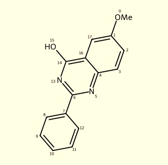 COc1ccc2nc(-c3ccccc3)nc(O)c2c1